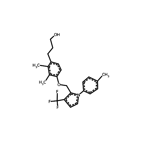 Cc1ccc(-n2ccc(C(F)(F)F)c2COc2ccc(CCCO)c(C)c2C)cc1